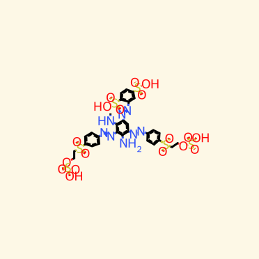 CNc1c(/N=N/c2cc(S(=O)(=O)O)ccc2S(=O)(=O)O)cc(/N=N/c2ccc(S(=O)(=O)CCOS(=O)(=O)O)cc2)c(N)c1/N=N/c1ccc(S(=O)(=O)CCOS(=O)(=O)O)cc1